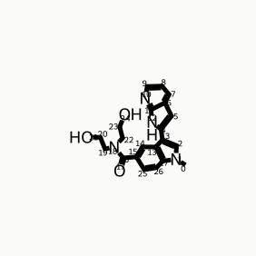 Cn1cc(-c2cc3cccnc3[nH]2)c2cc(C(=O)N(CCO)CCO)ccc21